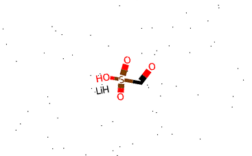 O=CS(=O)(=O)O.[LiH]